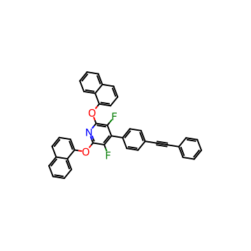 Fc1c(Oc2cccc3ccccc23)nc(Oc2cccc3ccccc23)c(F)c1-c1ccc(C#Cc2ccccc2)cc1